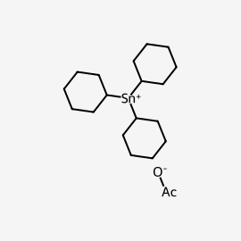 C1CC[CH]([Sn+]([CH]2CCCCC2)[CH]2CCCCC2)CC1.CC(=O)[O-]